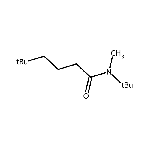 CN(C(=O)CCCC(C)(C)C)C(C)(C)C